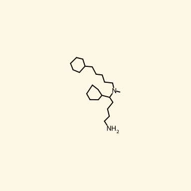 CN(CCCCCC1CCCCC1)C(CCCCN)C1CCCCC1